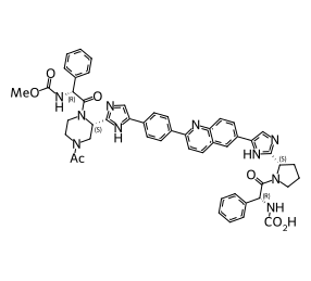 COC(=O)N[C@@H](C(=O)N1CCN(C(C)=O)C[C@H]1c1ncc(-c2ccc(-c3ccc4cc(-c5cnc([C@@H]6CCCN6C(=O)[C@H](NC(=O)O)c6ccccc6)[nH]5)ccc4n3)cc2)[nH]1)c1ccccc1